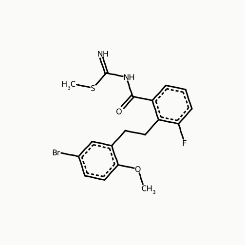 COc1ccc(Br)cc1CCc1c(F)cccc1C(=O)NC(=N)SC